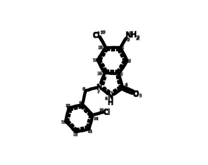 Nc1cc2c(=O)[nH]n(Cc3ccccc3Cl)c2cc1Cl